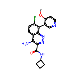 COc1ccncc1-c1c(F)ccc2c(N)c(C(=O)NC3CCC3)nnc12